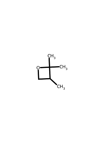 CC1COC1(C)C